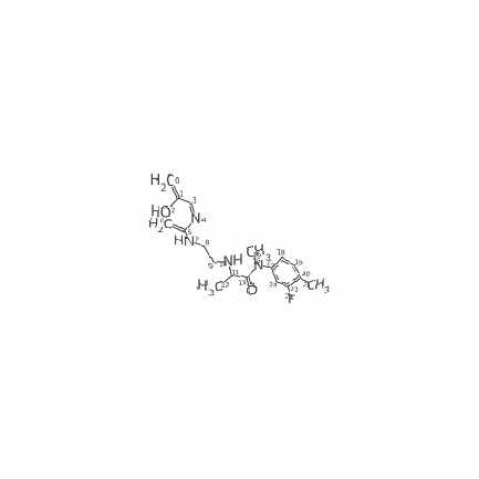 C=C(O)/C=N\C(=C)NCCNC(C)C(=O)N(C)c1ccc(C)c(F)c1